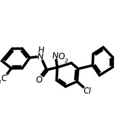 O=C(Nc1cccc(C(F)(F)F)c1)C1([N+](=O)[O-])C=CC(Cl)=C(c2ccccc2)C1